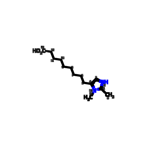 Cc1[nH]cc(CCCCCCCCC(=O)O)[n+]1C